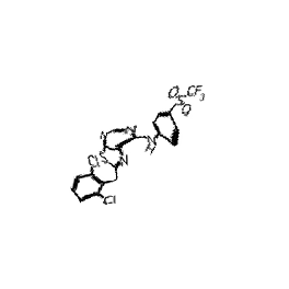 O=S(=O)(c1ccc(Nc2ncnc3sc(Cc4c(Cl)cccc4Cl)nc23)cc1)C(F)(F)F